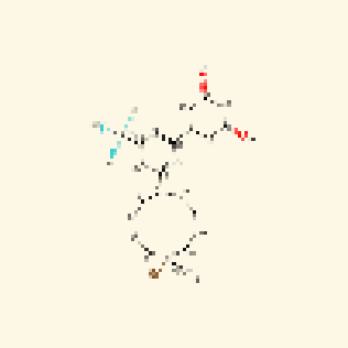 BC1(Br)CCCCC(c2cc(C3CC(=O)CC(=O)C3)cc(C(F)(F)F)c2)CCCC1